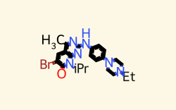 CCN1CCN(c2ccc(Nc3nc(C)c4cc(Br)c(=O)n(C(C)C)c4n3)cc2)CC1